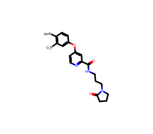 CNc1ccc(Oc2ccnc(C(=O)NCCCN3CCCC3=O)c2)cc1[N+](=O)[O-]